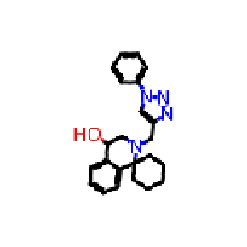 OC1CN(Cc2cn(-c3ccccc3)nn2)C2(CCCCC2)c2ccccc21